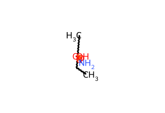 CCCCCCCC/C=C\CCCCCCC(C(=O)CCCCCCCCCCCCCCCC)P(=O)(O)OCCN